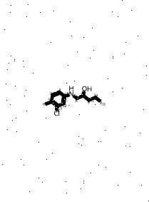 Cc1ccc(NCC(O)CCI)cc1Cl